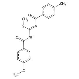 COc1ccc(C(=O)N/C(=N/C(=O)c2ccc(C)cc2)SC)cc1